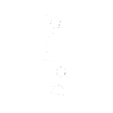 O=c1cc(C(F)(F)F)nc(-c2c(C(F)(F)F)ccc(CNC(=O)[C@H]3C[C@@H](OCc4cc(F)cc(Cl)c4)C3)c2F)[nH]1